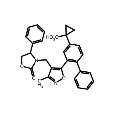 Cc1noc(-c2cc(C3(C(=O)O)CC3)ccc2-c2ccccc2)c1CN1C(=O)OCC1c1ccccc1